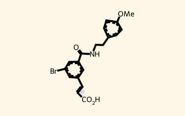 COc1ccc(CCNC(=O)c2cc(Br)cc(/C=C/C(=O)O)c2)cc1